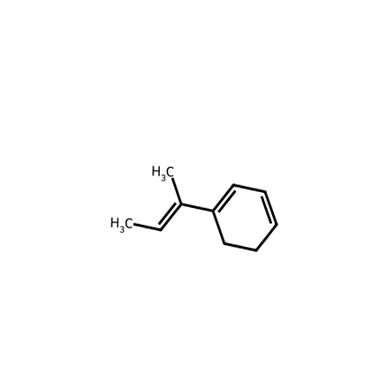 CC=C(C)C1=CC=CCC1